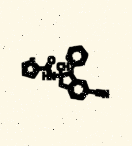 C[C@]1(NC(=O)c2cccs2)Cc2ccc(C#N)cc2[C@H]1c1ccccc1